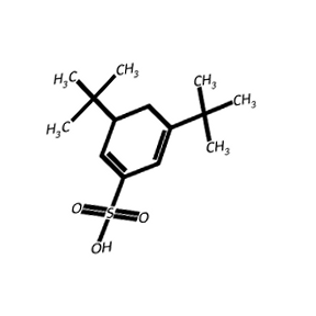 CC(C)(C)C1=CC(S(=O)(=O)O)=CC(C(C)(C)C)C1